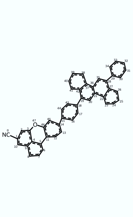 N#Cc1cc2c3c(cccc3c1)-c1ccc(-c3ccc(-c4cc5c6ccccc6c(-c6ccccc6)cc5c5ccccc45)cc3)cc1O2